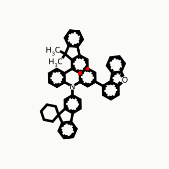 CC1(C)c2ccccc2-c2cccc(-c3ccccc3N(c3cccc(-c4cccc5oc6ccccc6c45)c3)c3ccc4c(c3)C3(CCCCC3)c3ccccc3-4)c21